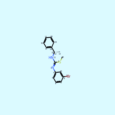 CSC(=Nc1cccc(Br)c1)N[C@@H](C)c1ccccc1